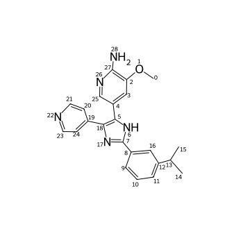 COc1cc(-c2[nH]c(-c3cccc(C(C)C)c3)nc2-c2ccncc2)cnc1N